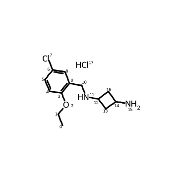 CCOc1ccc(Cl)cc1CNC1CC(N)C1.Cl